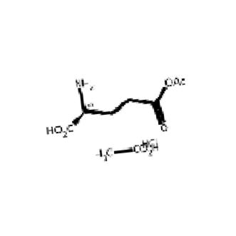 CC(=O)O.CC(=O)OC(=O)CC[C@H](N)C(=O)O.Cl